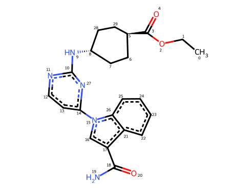 CCOC(=O)[C@H]1CC[C@H](Nc2nccc(-n3cc(C(N)=O)c4ccccc43)n2)CC1